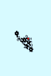 Cc1c(N(C(=O)c2cc(-c3cc4c(cc3C(=O)O)CN(C(=O)OCc3ccccc3)CC4)n(C)c2C)c2ccccc2)cc(C#N)n1C